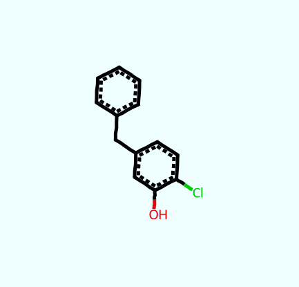 Oc1cc(Cc2ccccc2)ccc1Cl